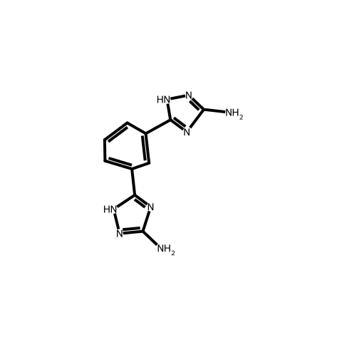 Nc1n[nH]c(-c2cccc(-c3nc(N)n[nH]3)c2)n1